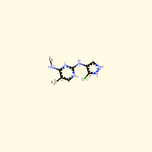 CCNc1nc(Nc2c[nH]nc2Cl)ncc1C(F)(F)F